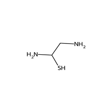 NCC(N)S